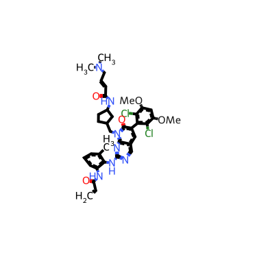 C=CC(=O)Nc1cccc(C)c1Nc1ncc2cc(-c3c(Cl)c(OC)cc(OC)c3Cl)c(=O)n(CC3CCC(NC(=O)/C=C/CN(C)C)C3)c2n1